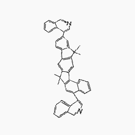 CC1(C)c2cc(-c3cncc4ccccc34)ccc2-c2cc3c(cc21)-c1c(cc(-c2cncc4ccccc24)c2ccccc12)C3(C)C